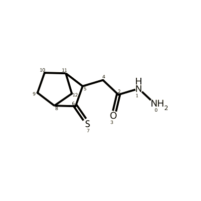 NNC(=O)CC1C(=S)C2CCC1C2